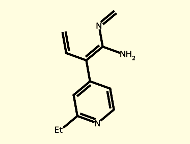 C=C/C(=C(/N)N=C)c1ccnc(CC)c1